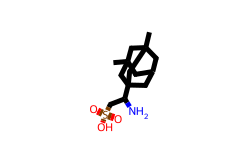 CC12CC3CC(C)(C1)CC(C(N)CS(=O)(=O)O)(C3)C2